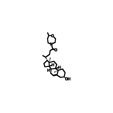 CC1CCN(C(=O)CCC(C)[C@H]2CC[C@H]3[C@@H]4CC=C5C[C@@H](O)CC[C@]5(C)[C@H]4CC[C@]23C)CCO1